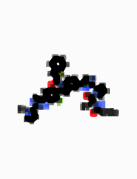 CCN1CCC[C@H]1c1ncc(-c2cc(F)c3c(c2)OC(c2cc4c(s2)CCCC4)n2c-3cc3cc(-c4cnc([C@@H]5CCCN5C(=O)[C@@H](NC(=O)OC)C(C)C)[nH]4)ccc32)[nH]1